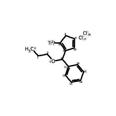 CCCOC(C1=[C]([Ti+2])CC=C1)c1ccccc1.[Cl-].[Cl-]